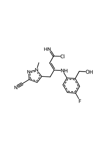 Cn1nc(C#N)cc1C/C(=C/C(=N)Cl)Nc1ccc(F)cc1CO